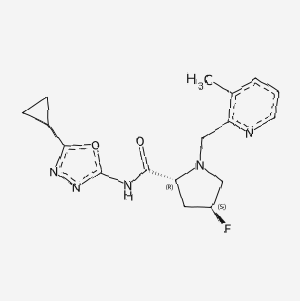 Cc1cccnc1CN1C[C@@H](F)C[C@@H]1C(=O)Nc1nnc(C2CC2)o1